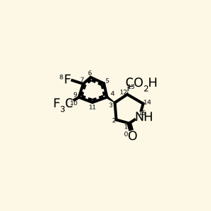 O=C1C[C@@H](c2ccc(F)c(C(F)(F)F)c2)[C@H](C(=O)O)CN1